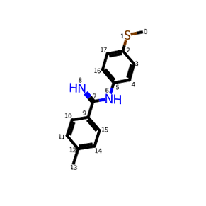 CSc1ccc(NC(=N)c2ccc(C)cc2)cc1